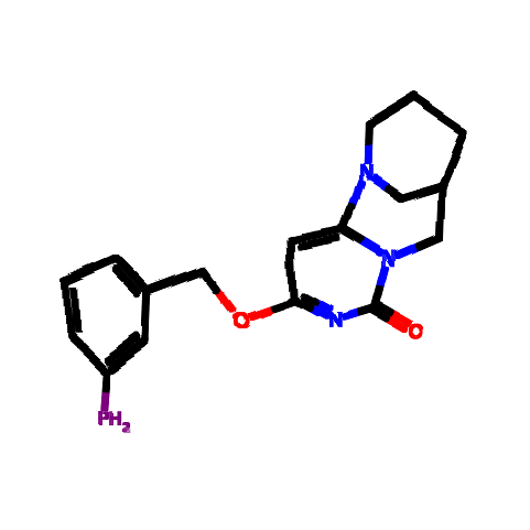 O=c1nc(OCc2cccc(P)c2)cc2n1CC1CCCN2C1